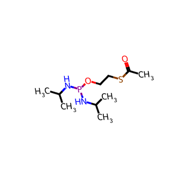 CC(=O)SCCOP(NC(C)C)NC(C)C